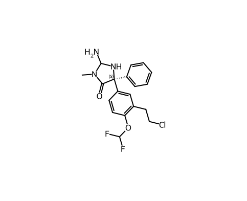 CN1C(=O)[C@](c2ccccc2)(c2ccc(OC(F)F)c(CCCl)c2)NC1N